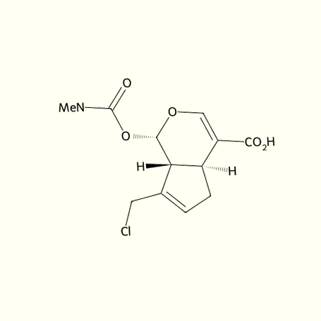 CNC(=O)O[C@@H]1OC=C(C(=O)O)[C@H]2CC=C(CCl)[C@H]12